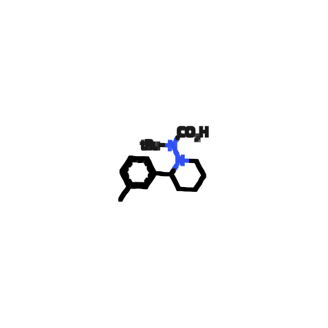 Cc1cccc(C2CCCCN2N(C(=O)O)C(C)(C)C)c1